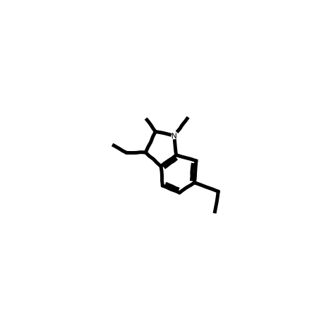 CCc1ccc2c(c1)N(C)C(C)C2CC